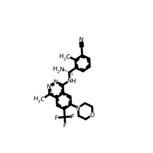 Cc1c(C#N)cccc1[C@@H](N)Nc1nnc(C)c2cc(C(F)(F)F)c(N3CCOCC3)cc12